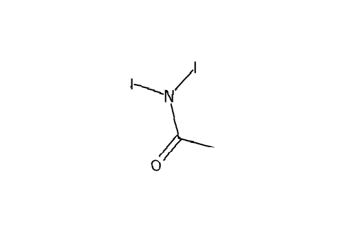 CC(=O)N(I)I